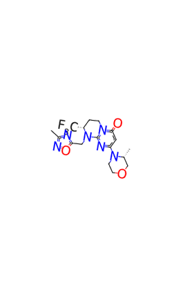 Cc1noc(CN2c3nc(N4CCOC[C@H]4C)cc(=O)n3CC[C@H]2C(F)(F)F)n1